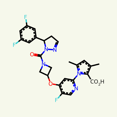 Cc1cc(C)n(-c2cc(OC3CN(C(=O)N4N=CCC4c4cc(F)cc(F)c4)C3)c(F)cn2)c1C(=O)O